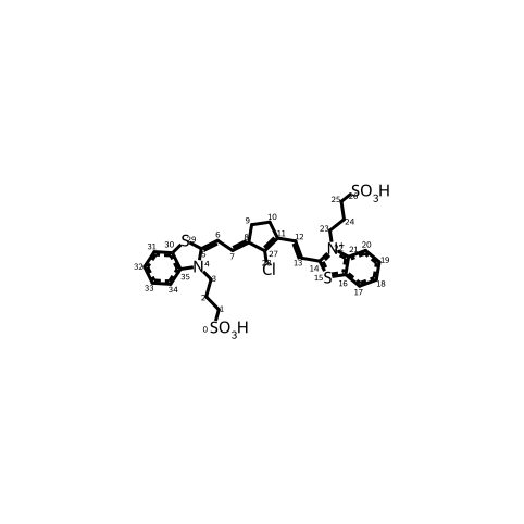 O=S(=O)(O)CCCN1C(=CC=C2CCC(C=Cc3sc4ccccc4[n+]3CCCS(=O)(=O)O)=C2Cl)Sc2ccccc21